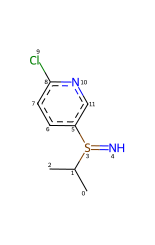 CC(C)S(=N)c1ccc(Cl)nc1